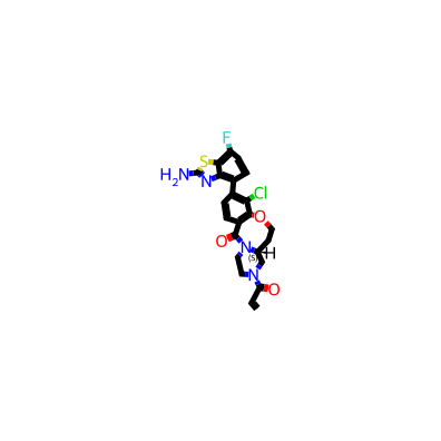 C=CC(=O)N1CCN2C(=O)c3ccc(-c4ccc(F)c5sc(N)nc45)c(Cl)c3OCC[C@H]2C1